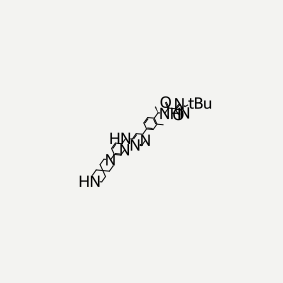 Cc1cc(-c2cc(Nc3ccc(N4CCC5(CCNCC5)CC4)cn3)ncn2)ccc1[C@@H](C)NC(=O)c1nc(C(C)(C)C)no1